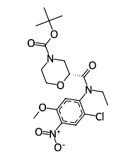 CCN(C(=O)[C@H]1CN(C(=O)OC(C)(C)C)CCO1)c1cc(OC)c([N+](=O)[O-])cc1Cl